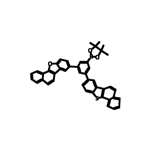 CC1(C)OB(c2cc(-c3ccc4oc5c6ccccc6ccc5c4c3)cc(-c3ccc4sc5c6ccccc6ccc5c4c3)c2)OC1(C)C